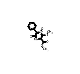 COC(=O)c1[nH]c(=O)c(-c2ccccc2)[n+]([O-])c1OC